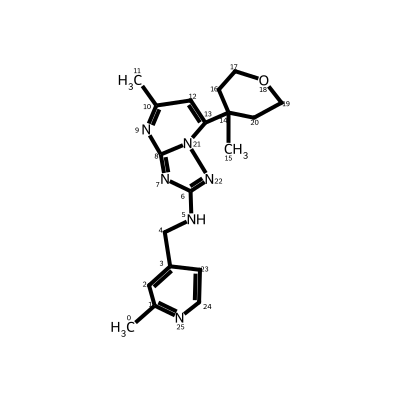 Cc1cc(CNc2nc3nc(C)cc(C4(C)CCOCC4)n3n2)ccn1